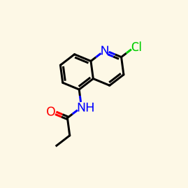 CCC(=O)Nc1cccc2nc(Cl)ccc12